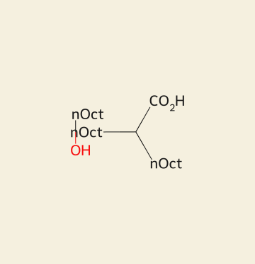 CCCCCCCCC(CCCCCCCC)C(=O)O.CCCCCCCCO